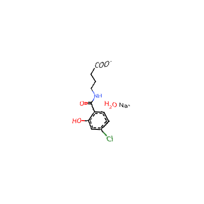 O.O=C([O-])CCCNC(=O)c1ccc(Cl)cc1O.[Na+]